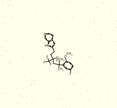 COc1ccc(F)cc1C(C)(C)CC(O)(CCc1cc2ccncc2[nH]1)C(F)(F)F